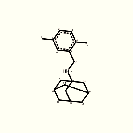 Cc1ccc(C)c(CNC23CC4CC(CC(C4)C2)C3)c1